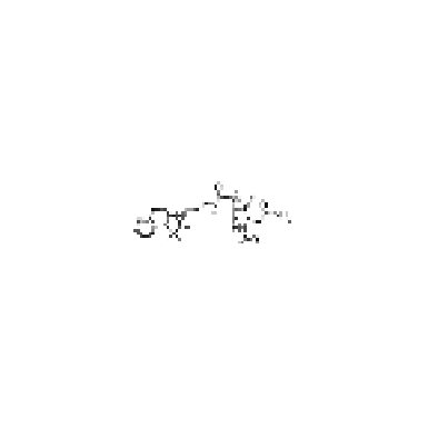 CC(=O)NC(CC(N)=O)C(=O)N[C@H](C)C(=O)NCCC[N+]1=C(C)C(C)(C)c2c1ccc1ccccc21